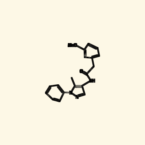 COc1cccc(CC(=O)Nc2cnn(-c3ccccc3)c2C)c1